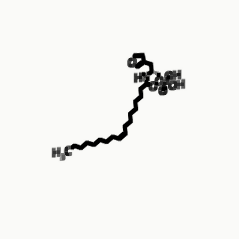 CCCCCCCC/C=C\CCCCCCCC(=O)N[C@@H](COP(=O)(O)O)Cc1ccoc1